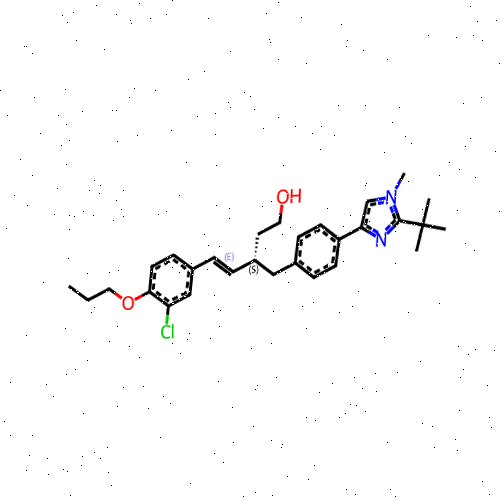 CCCOc1ccc(/C=C/[C@H](CCO)Cc2ccc(-c3cn(C)c(C(C)(C)C)n3)cc2)cc1Cl